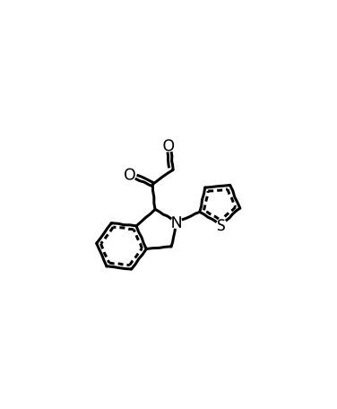 O=CC(=O)C1c2ccccc2CN1c1cccs1